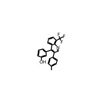 Cc1ccc(-c2cnc3c(C(F)(F)F)cccc3c2-c2cccc(O)c2)cc1